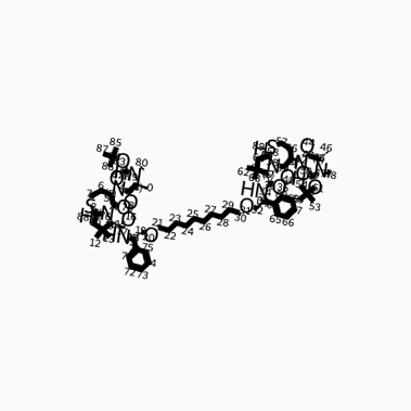 C[C@@H](C(=O)N[C@H]1CCS[C@H]2CC(C)(C)[C@@H](C(=O)N[C@H](COCCCCCCCCCCOC[C@@H](NC(=O)[C@H]3N4C(=O)[C@@H](NC(=O)[C@H](C)N(C)C(=O)OC(C)(C)C)CCS[C@H]4CC3(C)C)c3ccccc3)c3ccccc3)N2C1=O)N(C)C(=O)OC(C)(C)C